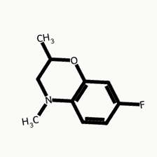 CC1CN(C)c2ccc(F)cc2O1